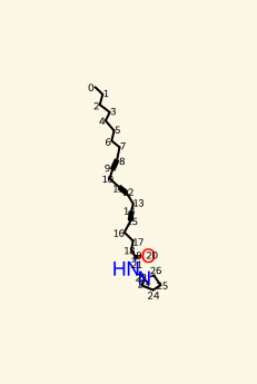 CCCCCCCCC#CCC#CCC#CCCCC(=O)NN1CCCC1